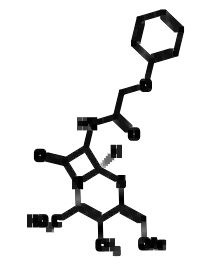 CC(=O)O/C=C1/S[C@@H]2C(NC(=O)COc3ccccc3)C(=O)N2C(C(=O)O)=C1C